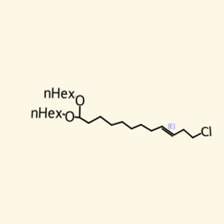 CCCCCCOC(CCCCCCC/C=C/CCCl)OCCCCCC